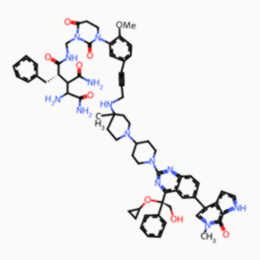 COc1ccc(C#CCNC2(C)CCN(C3CCN(c4nc([C@@](CO)(OC5CC5)c5ccccc5)c5cc(-c6cn(C)c(=O)c7[nH]ccc67)ccc5n4)CC3)CC2)cc1N1CCC(=O)N(CNC(=O)[C@@H](Cc2ccccc2)C(C(N)=O)C(N)C(N)=O)C1=O